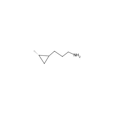 C[C@H]1CC1CCCN